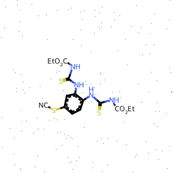 CCOC(=O)NC(=S)Nc1ccc(SC#N)cc1NC(=S)NC(=O)OCC